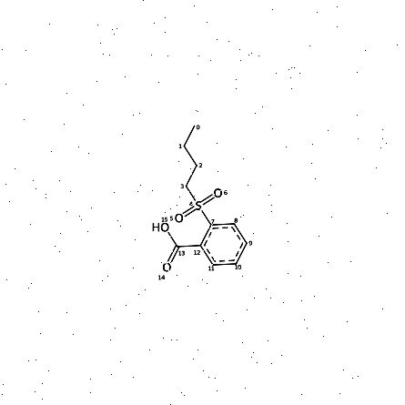 CCCCS(=O)(=O)c1ccccc1C(=O)O